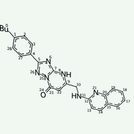 CC(C)(C)c1ccc(-c2nc3[nH]c(CNc4ccc5ccccc5n4)cc(=O)n3n2)cc1